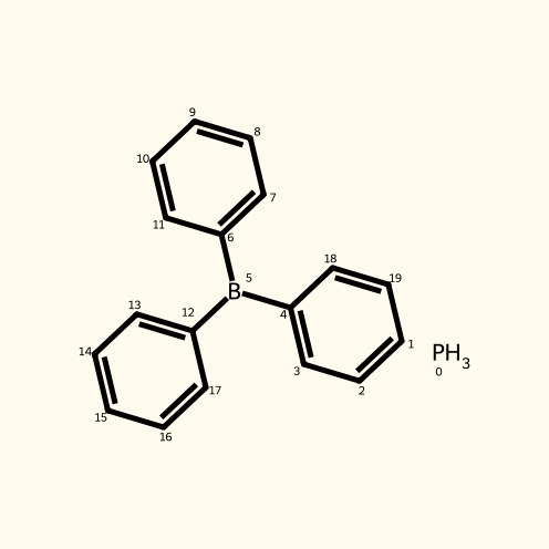 P.c1ccc(B(c2ccccc2)c2ccccc2)cc1